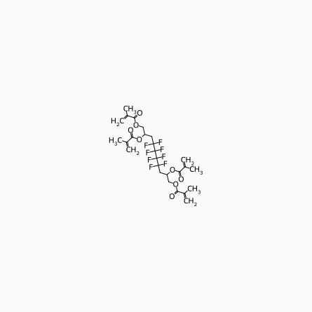 C=C(C)C(=O)OCC(CC(F)(F)C(F)(F)C(F)(F)C(F)(F)CC(COC(=O)C(=C)C)OC(=O)C(=C)C)OC(=O)C(=C)C